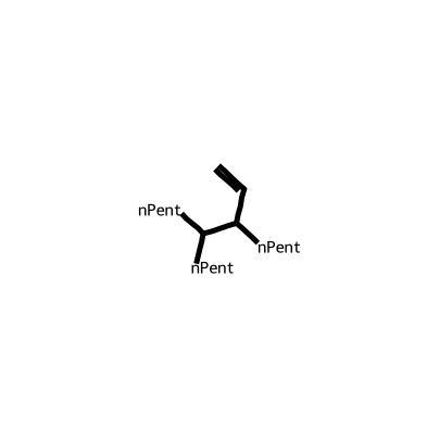 C=CC(CCCCC)C(CCCCC)CCCCC